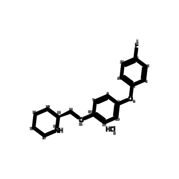 Cl.Fc1ccc(Oc2ccc(OC[C@@H]3CCCCN3)cc2)cc1